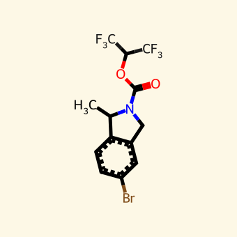 CC1c2ccc(Br)cc2CN1C(=O)OC(C(F)(F)F)C(F)(F)F